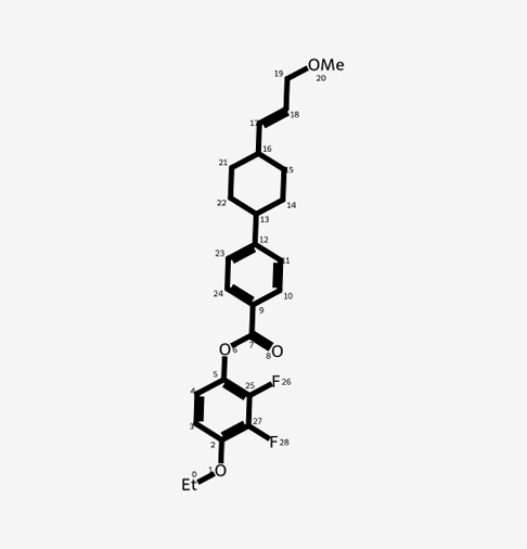 CCOc1ccc(OC(=O)c2ccc(C3CCC(/C=C/COC)CC3)cc2)c(F)c1F